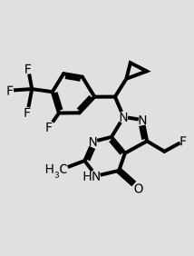 Cc1nc2c(c(CF)nn2C(c2ccc(C(F)(F)F)c(F)c2)C2CC2)c(=O)[nH]1